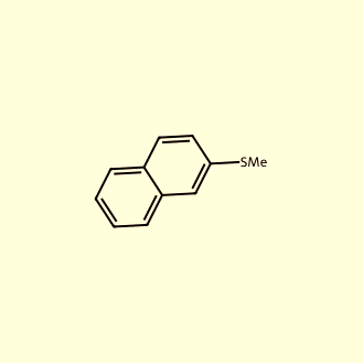 CSc1ccc2ccccc2c1